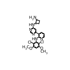 COc1cc(OC)c(Cl)c(Nc2ncccc2-c2cc(N[C@@H]3CC[C@@H]3N)ncn2)c1Cl